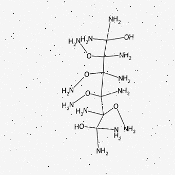 NOC(N)(C(N)(N)O)C(N)(ON)C(N)(ON)C(N)(ON)C(N)(N)O